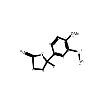 CCCOc1cc(C2(C)CCC(=O)O2)ccc1OC